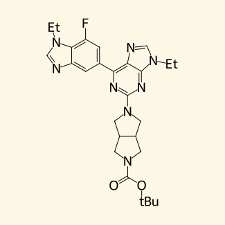 CCn1cnc2c(-c3cc(F)c4c(c3)ncn4CC)nc(N3CC4CN(C(=O)OC(C)(C)C)CC4C3)nc21